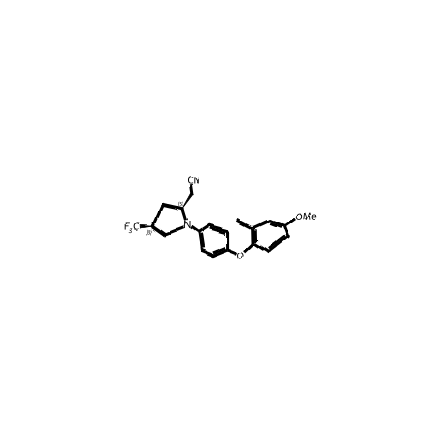 COc1ccc(Oc2ccc(N3C[C@@H](C(F)(F)F)C[C@H]3CC#N)cc2)c(C)c1